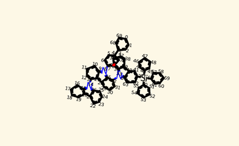 c1ccc(-c2ccc(-n3c4cccc(-n5c6ccccc6c6ccccc65)c4c4cccc(-n5c6ccccc6c6cc([Si](c7ccccc7)(c7ccccc7)c7ccccc7)ccc65)c43)cc2)cc1